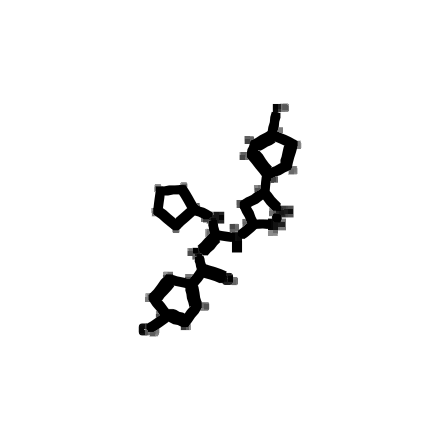 O=C(/N=C(/NC1CCCC1)NC1CC(c2ccc(F)cc2)NN1)c1ccc(Cl)cc1